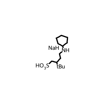 CC(C)(C)C(CCNC1CCCCC1)CS(=O)(=O)O.[NaH]